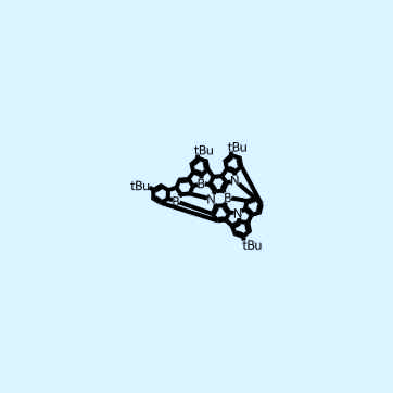 CC(C)(C)C1=CC2C3B4c5c6c7c8c(c5C3=C1)c1cc(C(C)(C)C)cc3c5cc9c%10cc(C(C)(C)C)cc%11c%10n%10c9c(c5n8c31)B7C1=C%10C%11C3C5=C1N6C1C6B5c5c(cc(C(C)(C)C)cc53)C6=CC2C41